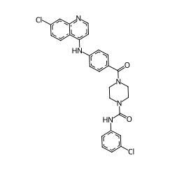 O=C(Nc1cccc(Cl)c1)N1CCN(C(=O)c2ccc(Nc3ccnc4cc(Cl)ccc34)cc2)CC1